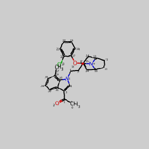 CC(=O)c1cn(CCCN2C3CCC2CC(Oc2ccccc2Cl)C3)c2c(C)cccc12